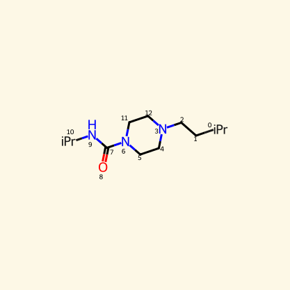 CC(C)CCN1CCN(C(=O)NC(C)C)CC1